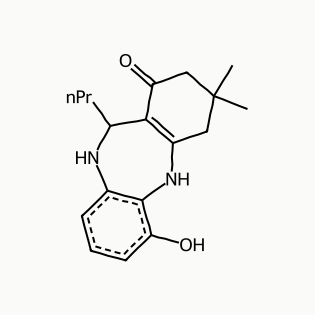 CCCC1Nc2cccc(O)c2NC2=C1C(=O)CC(C)(C)C2